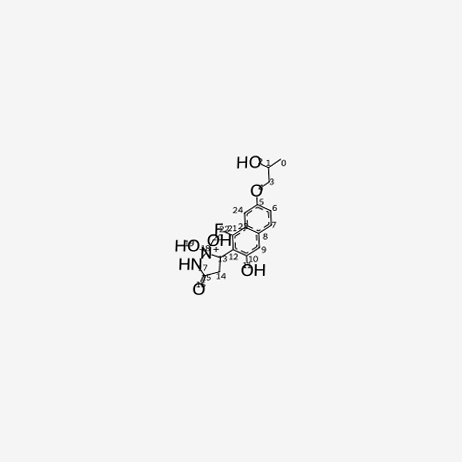 CC(O)COc1ccc2cc(O)c(C3CC(=O)N[N+]3(O)O)c(F)c2c1